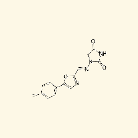 O=C1CN(N=Cc2ncc(-c3ccc(F)cc3)o2)C(=O)N1